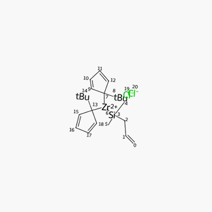 C=CC[Si](C)(C)[Zr+2]([C]1(C(C)(C)C)C=CC=C1)[C]1(C(C)(C)C)C=CC=C1.[Cl-].[Cl-]